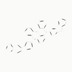 c1ccc2c(c1)B1c3ccccc3N(c3ccc4oc5cc6ccccc6cc5c4c3)c3cccc(c31)N2c1ccc2oc3ccccc3c2c1